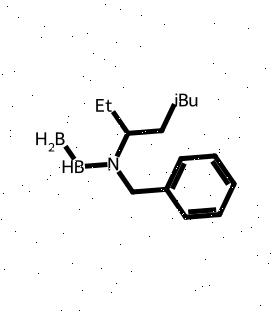 BBN(Cc1ccccc1)C(CC)CC(C)CC